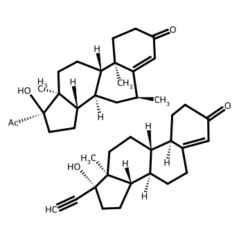 C#C[C@]1(O)CC[C@H]2[C@@H]3CCC4=CC(=O)CC[C@@H]4[C@H]3CC[C@@]21C.CC(=O)[C@@]1(O)CC[C@H]2[C@@H]3C[C@H](C)C4=CC(=O)CC[C@]4(C)[C@H]3CC[C@@]21C